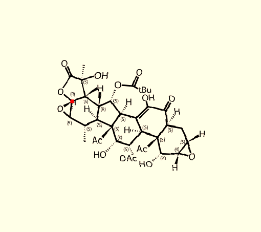 CC(=O)O[C@H]1[C@H]2C(=C(O)C(=O)[C@H]3C[C@@H]4O[C@@H]4[C@H](O)[C@@]32C(C)=O)[C@@H]2[C@@H](OC(=O)C(C)(C)C)[C@@H]3[C@H]([C@H](C)[C@H]4O[C@]45OC(=O)[C@@](C)(O)[C@]35C)[C@@]2(C(C)=O)[C@H]1O